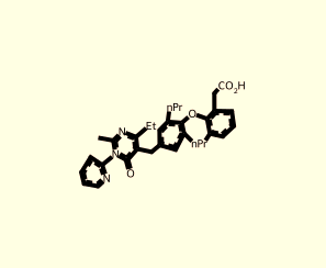 CCCc1cc(Cc2c(CC)nc(C)n(-c3ccccn3)c2=O)cc(CCC)c1Oc1c(C)cccc1CC(=O)O